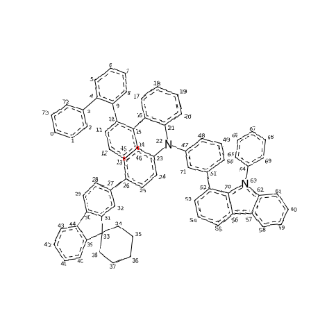 c1ccc(-c2ccccc2-c2ccccc2-c2ccccc2N(c2ccc(-c3ccc4c(c3)C3(CCCCC3)c3ccccc3-4)cc2)c2cccc(-c3cccc4c5ccccc5n(-c5ccccc5)c34)c2)cc1